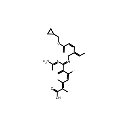 C=C(/C=C\C(=C/C)C/N=C(\N=C(/C)N)C(=C)/C(Cl)=C\C(C)=C(/C)C(=O)O)OCC1CC1